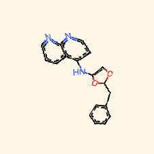 C1=C(Nc2ccnc3ncccc23)OC(Cc2ccccc2)O1